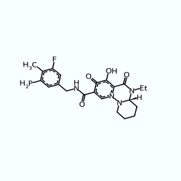 CCN1C(=O)c2c(O)c(=O)c(C(=O)NCc3cc(F)c(C)c(P)c3)cn2N2CCCC[C@@H]12